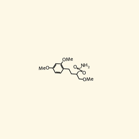 COCC(CCc1ccc(OC)cc1OC)S(N)(=O)=O